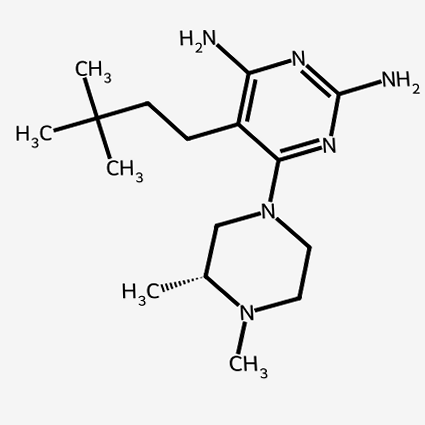 C[C@@H]1CN(c2nc(N)nc(N)c2CCC(C)(C)C)CCN1C